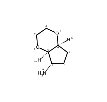 N[C@H]1CC[C@@H]2OCCO[C@@H]21